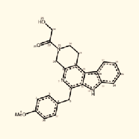 COc1ccc(Cc2nc3c(c4c2[nH]c2ccccc24)CCN(C(=O)CO)C3)cc1